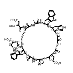 CC(=O)N[C@@H](CC(=O)O)C(=O)N[C@H]1CSSC[C@@H](C(=O)N[C@H](C(=O)O)[C@@H](C)O)NC(=O)[C@H](Cc2c[nH]c3ccccc23)NC(=O)[C@H](C(C)C)NC(=O)[C@H](CC(C)C)NC(=O)[C@H](CCC(=O)O)NC(=O)CNC(=O)C(C)NC(=O)[C@H](Cc2c[nH]cn2)NC(=O)[C@H](Cc2c[nH]c3ccccc23)NC(=O)[C@H](C)NC1=O